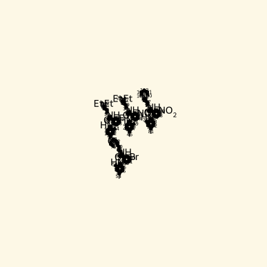 CCN(CC)CCCNC(=O)c1cc(F)ccc1Nc1ccc(I)cc1C.CCN(CC)CCCNC(=O)c1cc([N+](=O)[O-])ccc1Nc1ccc(I)cc1C.Cc1cc(I)ccc1Nc1ccc(Br)cc1C(=O)NCCN1CCOCC1.Cc1cc(I)ccc1Nc1ccc([N+](=O)[O-])cc1C(=O)NCCCN1CCCCC1